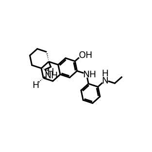 CCNc1ccccc1Nc1cc2c(cc1O)[C@]13CCCC[C@@H]1[C@H](C2)NCC3